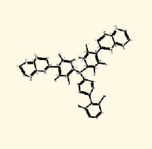 Cc1cccc(C)c1-c1ccc(N(c2c(C)c(C)c(-c3cnc4nccnc4n3)c(C)c2C)c2c(C)c(C)c(-c3cnc4nccnc4n3)c(C)c2C)cc1